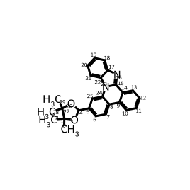 CC1(C)OC(c2ccc3c4ccccc4c4nc5ccccc5n4c3c2)OC1(C)C